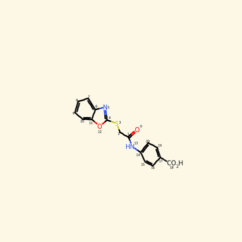 O=C(CSc1nc2ccccc2o1)Nc1ccc(C(=O)O)cc1